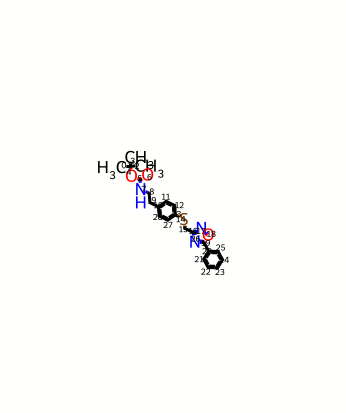 CC(C)(C)OC(=O)NCCc1ccc(SCc2noc(-c3ccccc3)n2)cc1